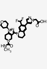 CNC(=O)N1CCc2c(c(N3CCCc4cc(-c5cnn(CC(=O)O)c5)c(C(F)F)cc43)nn2C2CCOCC2)C1